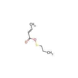 CC=CC(=O)OSCCC